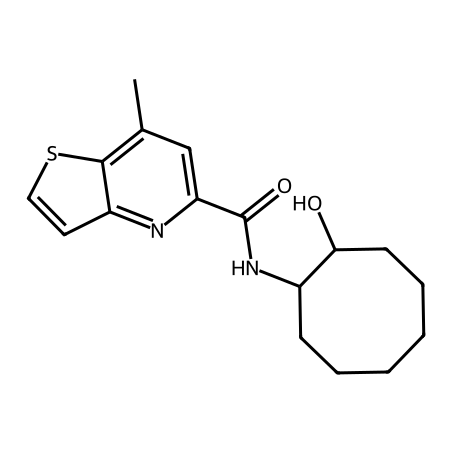 Cc1cc(C(=O)NC2CCCCCCC2O)nc2ccsc12